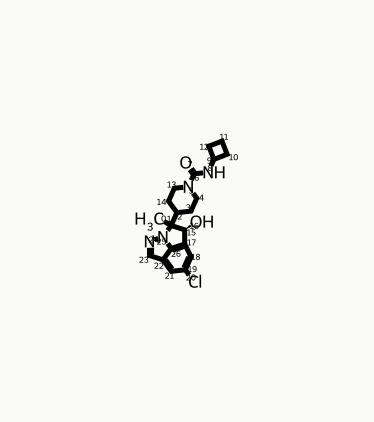 CC1(C2CCN(C(=O)NC3CCC3)CC2)[C@H](O)c2cc(Cl)cc3cnn1c23